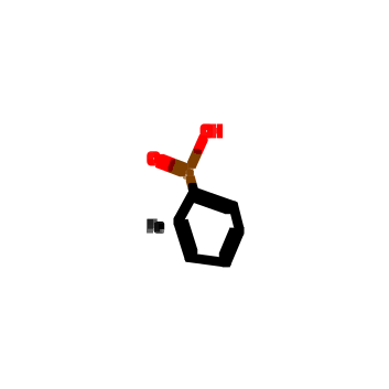 O=S(O)c1ccccc1.[Fe]